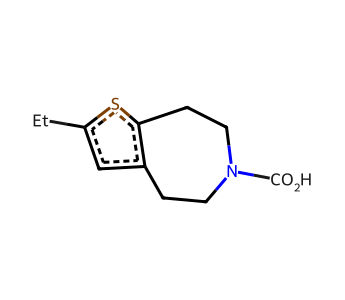 CCc1cc2c(s1)CCN(C(=O)O)CC2